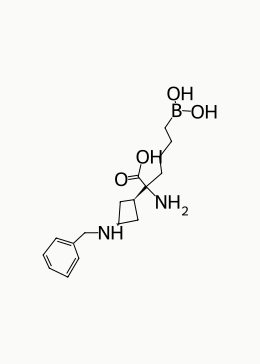 NC(CCCCB(O)O)(C(=O)O)[C@H]1C[C@@H](NCc2ccccc2)C1